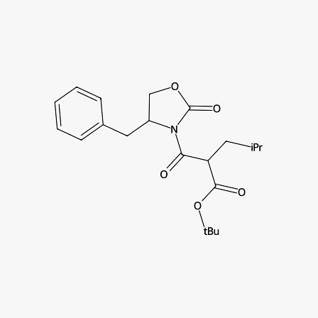 CC(C)CC(C(=O)OC(C)(C)C)C(=O)N1C(=O)OCC1Cc1ccccc1